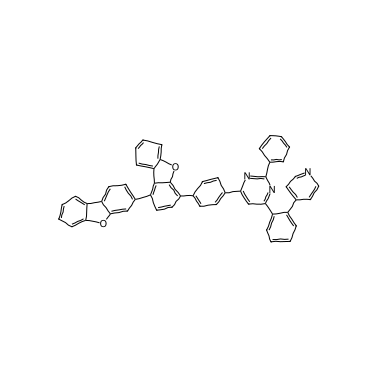 c1ccc(-c2nc(-c3ccc(-c4ccc(-c5ccc6c(c5)oc5ccccc56)c5c4oc4ccccc45)cc3)cc(-c3ccccc3-c3ccncc3)n2)cc1